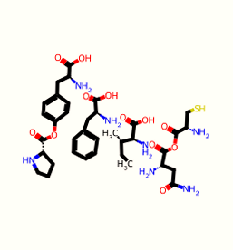 CC[C@H](C)[C@H](N)C(=O)O.NC(=O)C[C@H](N)C(=O)OC(=O)[C@@H](N)CS.N[C@@H](Cc1ccc(OC(=O)[C@@H]2CCCN2)cc1)C(=O)O.N[C@@H](Cc1ccccc1)C(=O)O